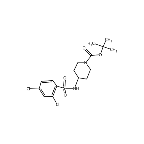 CC(C)(C)OC(=O)N1CCC(NS(=O)(=O)c2ccc(Cl)cc2Cl)CC1